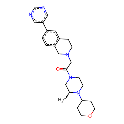 C[C@H]1CN(C(=O)CN2CCc3cc(-c4cncnc4)ccc3C2)CCN1C1CCOCC1